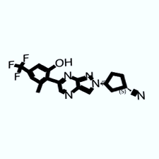 Cc1cc(C(F)(F)F)cc(O)c1-c1cnc2cn([C@@H]3CC[C@H](C#N)C3)nc2n1